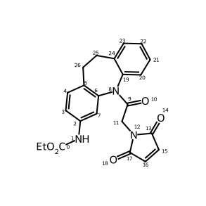 CCOC(=O)Nc1ccc2c(c1)N(C(=O)CN1C(=O)C=CC1=O)c1ccccc1CC2